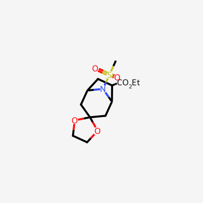 CCOC(=O)C1CC2CC3(CC1N2S(C)(=O)=O)OCCO3